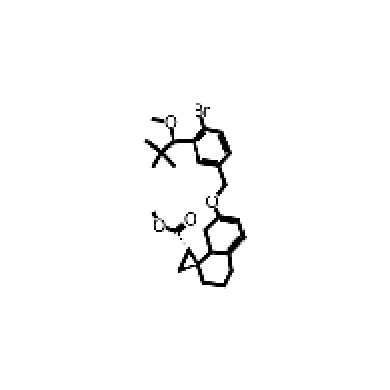 COC(=O)[C@H]1C[C@@]12CCCC1=CC=C(OCc3ccc(Br)c([C@H](OC)C(C)(C)C)c3)CC12